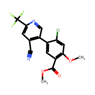 COC(=O)c1cc(-c2cnc(C(F)(F)F)cc2C#N)c(Cl)cc1OC